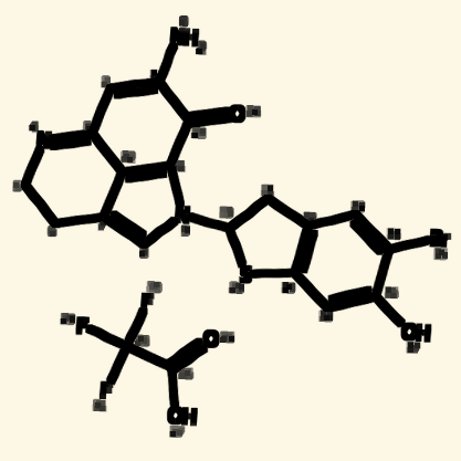 NC1=CC2=NCCc3cn(C4Cc5cc(Br)c(O)cc5S4)c(c32)C1=O.O=C(O)C(F)(F)F